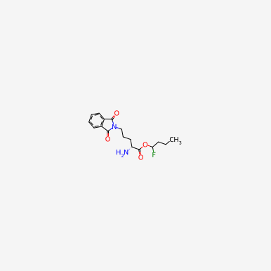 CCCC(F)OC(=O)[C@H](N)CCCN1C(=O)c2ccccc2C1=O